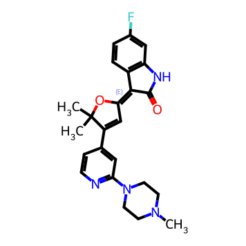 CN1CCN(c2cc(C3=C/C(=C4\C(=O)Nc5cc(F)ccc54)OC3(C)C)ccn2)CC1